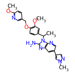 COc1ccc(COc2ccc(C(C)n3c(N)nc4cc(-c5cnn(C)c5)cnc43)cc2OC)cn1